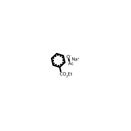 CC(=O)[O-].CCOC(=O)c1ccccc1.[Na+]